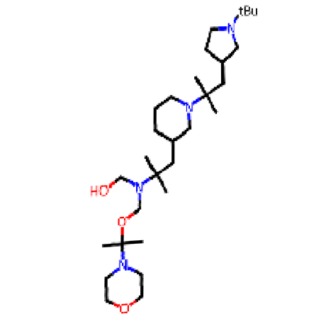 CC(C)(C)N1CCC(CC(C)(C)N2CCCC(CC(C)(C)N(CO)COC(C)(C)N3CCOCC3)C2)C1